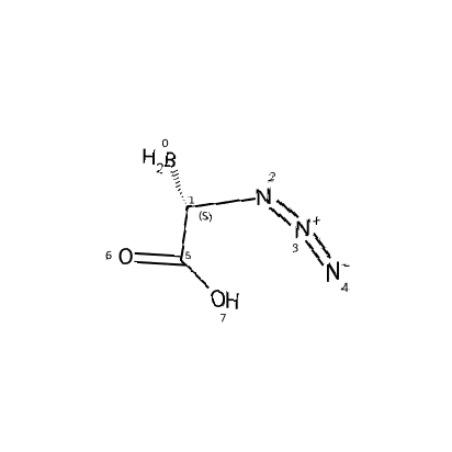 B[C@H](N=[N+]=[N-])C(=O)O